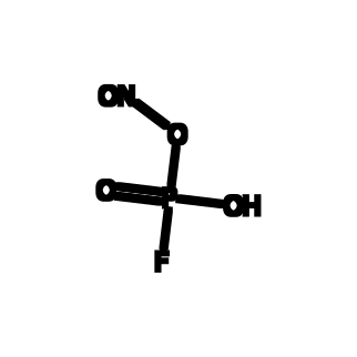 O=NOP(=O)(O)F